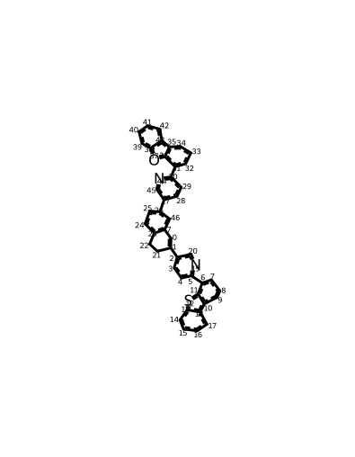 C1=C(c2ccc(-c3cccc4c3sc3ccccc34)nc2)CCc2ccc(-c3ccc(-c4cccc5c4oc4ccccc45)nc3)cc21